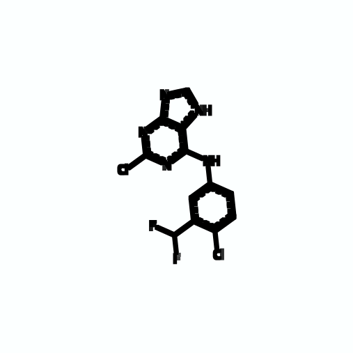 FC(F)c1cc(Nc2nc(Cl)nc3nc[nH]c23)ccc1Cl